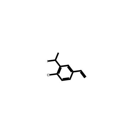 C=Cc1ccc(Cl)c(C(C)I)c1